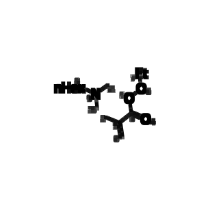 C=C(C)C(=O)OOCC.CCCCCCN(C)C